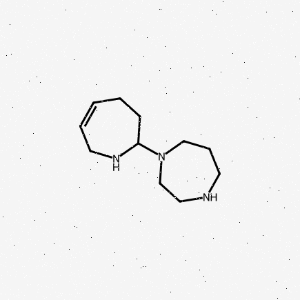 C1=CCNC(N2CCCNCC2)CC1